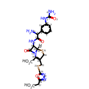 NC(=O)Nc1cccc(C(N)C(=O)NC2C(=O)N3C(C(=O)O)=C(CSc4nnc(CC(=O)O)o4)CS[C@@H]23)c1